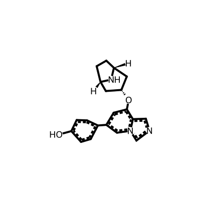 Oc1ccc(-c2cc(O[C@H]3C[C@H]4CC[C@@H](C3)N4)c3cncn3c2)cc1